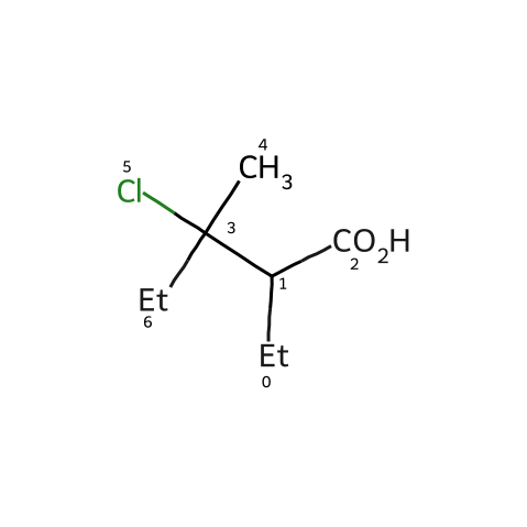 CCC(C(=O)O)C(C)(Cl)CC